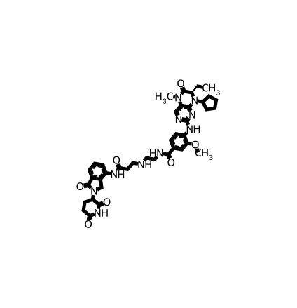 CC[C@@H]1C(=O)N(C)c2cnc(Nc3ccc(C(=O)NCCNCCC(=O)Nc4cccc5c4CN(C4CCC(=O)NC4=O)C5=O)cc3OC)nc2N1C1CCCC1